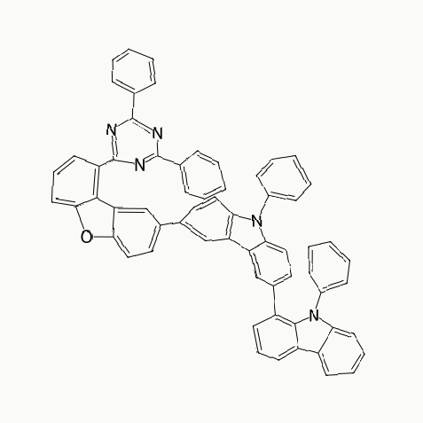 c1ccc(-c2nc(-c3ccccc3)nc(-c3cccc4oc5ccc(-c6ccc7c(c6)c6cc(-c8cccc9c%10ccccc%10n(-c%10ccccc%10)c89)ccc6n7-c6ccccc6)cc5c34)n2)cc1